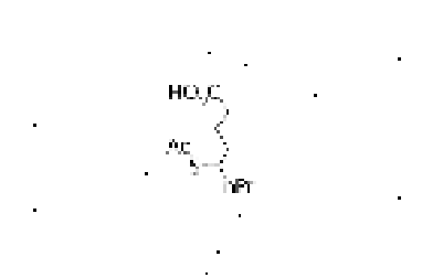 CCCC(CCCC(=O)O)SC(C)=O